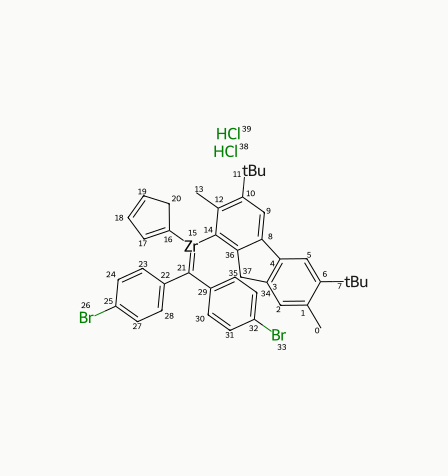 Cc1cc2c(cc1C(C)(C)C)-c1cc(C(C)(C)C)c(C)[c]([Zr]([C]3=CC=CC3)=[C](c3ccc(Br)cc3)c3ccc(Br)cc3)c1C2.Cl.Cl